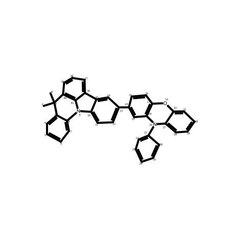 CC1(C)c2ccccc2-n2c3ccc(-c4ccc5c(c4)N(c4ccccc4)c4ccccc4O5)cc3c3cccc1c32